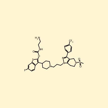 CS(=O)(=O)N1CCc2c(c(-c3ccc(C(F)(F)F)cc3)nn2CCCN2CCC(c3c(OC(=O)NCCN)sc4cc(F)ccc34)CC2)C1